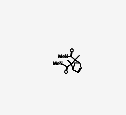 CNC(=O)C1(C)C2C=CC(C2)C1(C)C(=O)NC